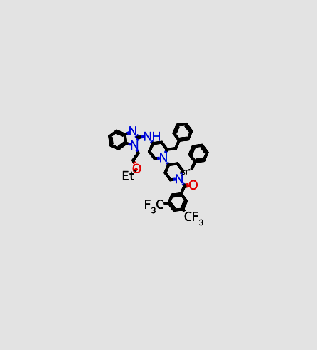 CCOCCn1c(NC2CCN(C3CCN(C(=O)c4cc(C(F)(F)F)cc(C(F)(F)F)c4)[C@@H](Cc4ccccc4)C3)C(Cc3ccccc3)C2)nc2ccccc21